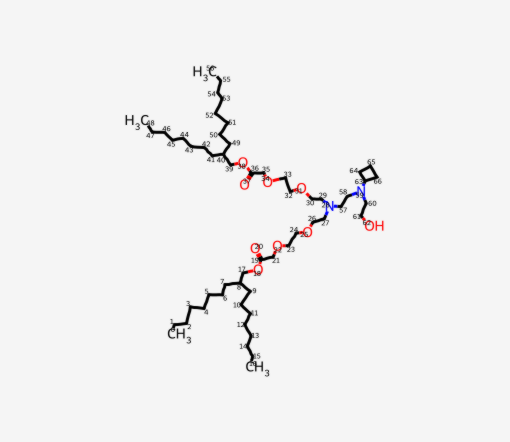 CCCCCCCCC(CCCCCCCC)COC(=O)COCCOCCN(CCOCCOCC(=O)OCC(CCCCCCCC)CCCCCCCC)CCN(CCO)C1CCC1